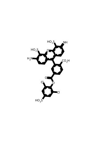 N=c1ccc2c(-c3cc(C(=O)Oc4c(Cl)cc(S(=O)(=O)O)cc4Cl)ccc3C(=O)O)c3ccc(N)c(S(=O)(=O)O)c3oc-2c1S(=O)(=O)O